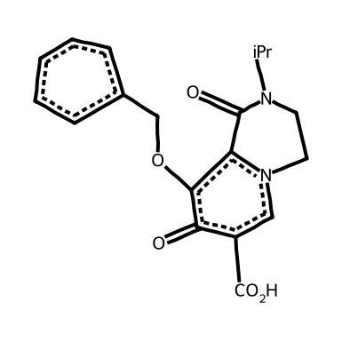 CC(C)N1CCn2cc(C(=O)O)c(=O)c(OCc3ccccc3)c2C1=O